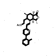 CC(=O)OCCC1[C@@H](C)C[C@H]2C(=O)O[C@H](C)[C@H]2[C@H]1/C=C/c1ccc(-c2ccccc2C)cn1